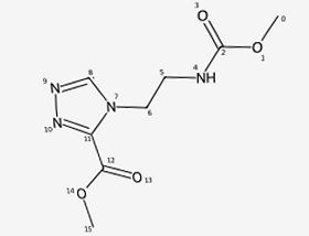 COC(=O)NCCn1[c]nnc1C(=O)OC